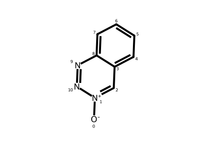 [O-][n+]1cc2ccccc2nn1